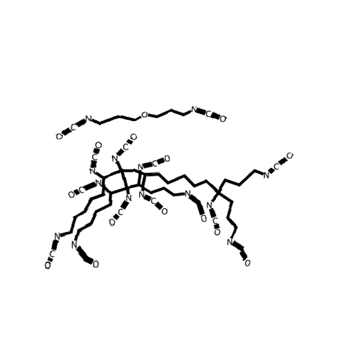 O=C=NCCCCCC(N=C=O)C(CC(CCCCCC(CCCN=C=O)(CCCN=C=O)N=C=O)N=C=O)(N=C=O)C(N=C=O)(C(CCCCN=C=O)N=C=O)C(CCCN=C=O)N=C=O.O=C=NCCCOCCCN=C=O